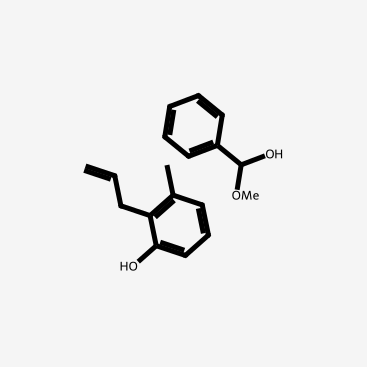 C=CCc1c(C)cccc1O.COC(O)c1ccccc1